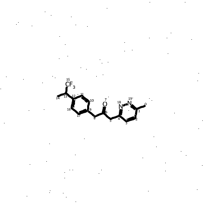 Cc1ccc(CC(=O)Cc2ccc(C(C)C(F)(F)F)cc2)nn1